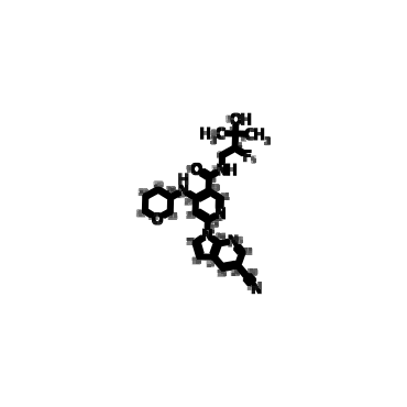 CC(C)(O)C(F)CNC(=O)c1cnc(-n2ccc3cc(C#N)cnc32)cc1NC1CCCOC1